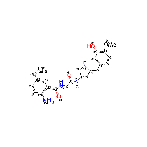 COc1ccc(CC2CC(NC(=O)CNC(=O)c3cc(OC(F)(F)F)ccc3N)CN2)cc1O